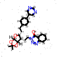 CC1(C)O[C@@H]2O[C@H](CCc3ccc(-c4cncnc4)cc3)[C@H](CCn3nnc4ccccc4c3=O)[C@@H]2O1